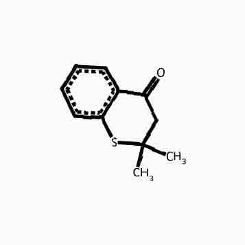 CC1(C)CC(=O)c2ccccc2S1